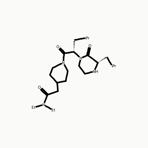 CCN(CC)C(=O)CC1CCN(C(=O)[C@H](CC(C)C)N2CCN[C@@H](CC(C)C)C2=O)CC1